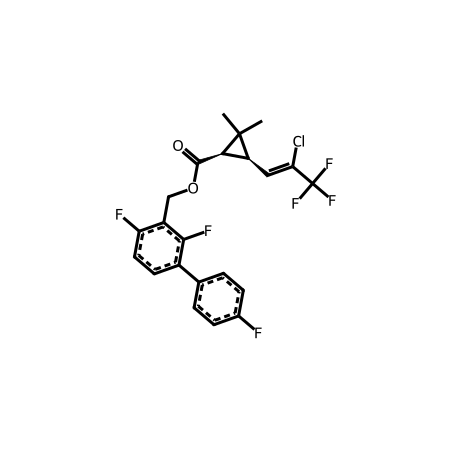 CC1(C)[C@H](C(=O)OCc2c(F)ccc(-c3ccc(F)cc3)c2F)[C@@H]1/C=C(\Cl)C(F)(F)F